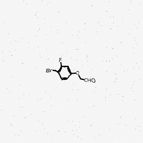 O=CCOc1ccc(Br)c(F)c1